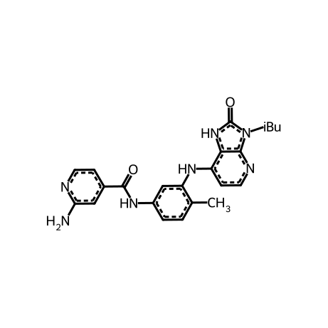 CCC(C)n1c(=O)[nH]c2c(Nc3cc(NC(=O)c4ccnc(N)c4)ccc3C)ccnc21